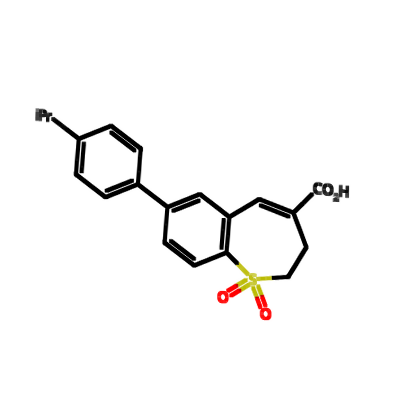 CC(C)c1ccc(-c2ccc3c(c2)C=C(C(=O)O)CCS3(=O)=O)cc1